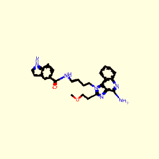 COCCc1nc2c(N)nc3ccccc3c2n1CCCCNC(=O)c1ccc2[nH]ccc2c1